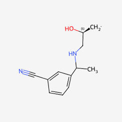 [CH2][C@H](O)CNC(C)c1cccc(C#N)c1